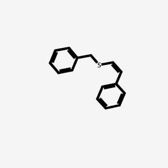 C(=C/c1ccccc1)/SCc1ccccc1